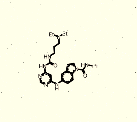 CCN(CC)CCCNC(=O)Nc1cc(Nc2ccc3c(ccn3C(=O)NC(C)C)c2)ncn1